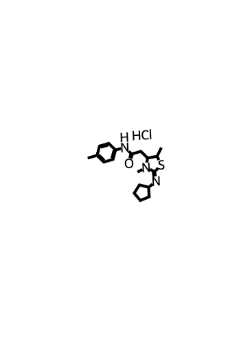 Cc1ccc(NC(=O)CC2C(C)SC(=NC3CCCC3)N2C)cc1.Cl